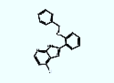 Clc1ccnc2[nH]c(-c3ccccc3OCc3ccccc3)cc12